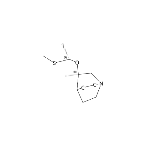 CS[C@H](C)O[C@@]1(C)CN2CCC1CC2